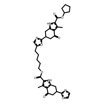 Cc1c(C(=O)OCCCCCc2cnc(C3CC(=O)c4c([nH]c(C(=O)OC5CCCC5)c4C)C3)o2)[nH]c2c1C(=O)CC(c1ncco1)C2